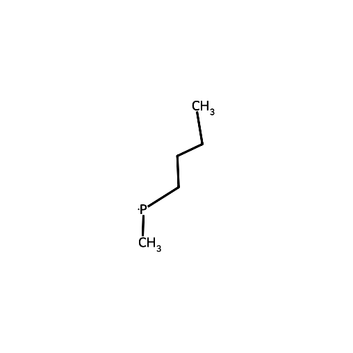 CCCC[P]C